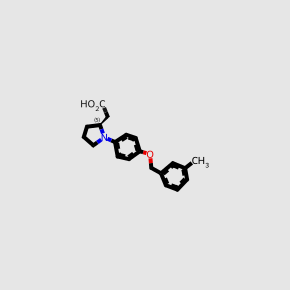 Cc1cccc(COc2ccc(N3CCC[C@H]3CC(=O)O)cc2)c1